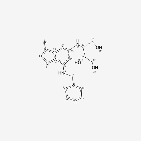 CC(C)c1cnn2c(NCc3ccccc3)cc(N[C@H](CO)[C@@H](O)CO)nc12